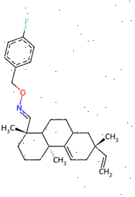 C=C[C@]1(C)CC=C2C(CCC3[C@@](C)(/C=N/OCc4ccc(F)cc4)CCC[C@]23C)C1